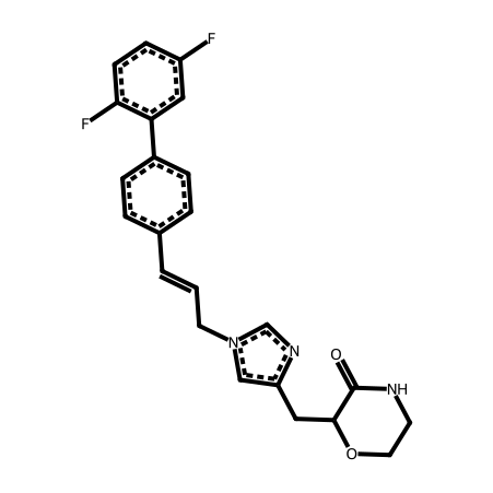 O=C1NCCOC1Cc1cn(CC=Cc2ccc(-c3cc(F)ccc3F)cc2)cn1